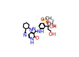 CC(O)(CCO)c1cc(Nc2nn(C3CCCCC3C#N)c3cc[nH]c(=O)c23)ccc1S(C)(=O)=O